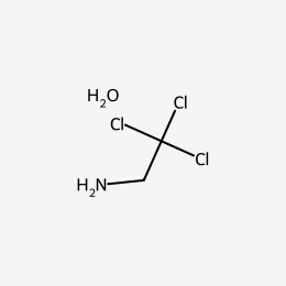 NCC(Cl)(Cl)Cl.O